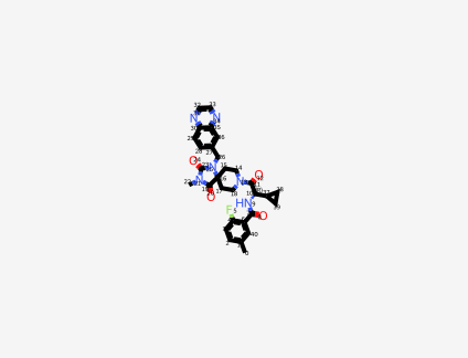 Cc1ccc(F)c(C(=O)N[C@@H](C(=O)N2CCC3(CC2)C(=O)N(C)C(=O)N3Cc2ccc3nccnc3c2)C2CC2)c1